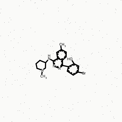 Cc1ccc2c(-c3ccc(Br)cc3O)nnc(NC3CCCN(C)C3)c2c1